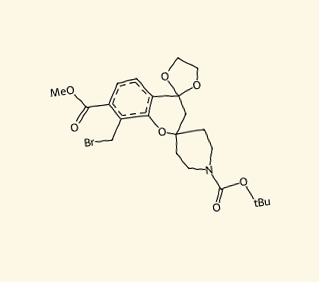 COC(=O)c1ccc2c(c1CBr)OC1(CCN(C(=O)OC(C)(C)C)CC1)CC21OCCO1